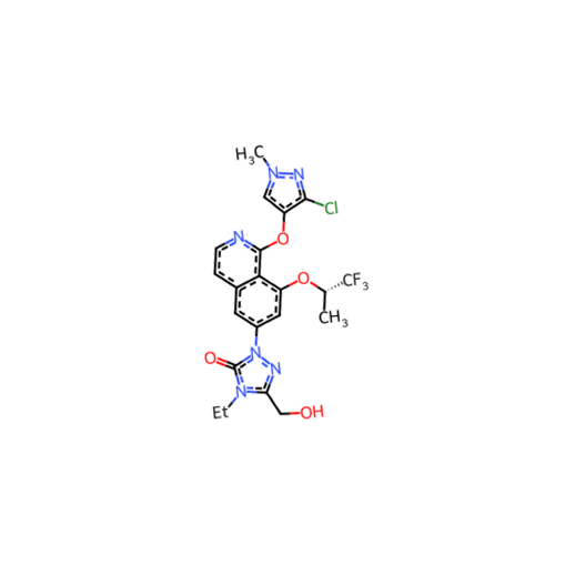 CCn1c(CO)nn(-c2cc(O[C@@H](C)C(F)(F)F)c3c(Oc4cn(C)nc4Cl)nccc3c2)c1=O